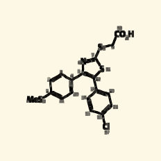 CSc1ccc(-c2nc(SCC(=O)O)sc2-c2ccc(Cl)cc2)cc1